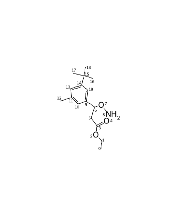 CCOC(=O)CC(ON)c1cc(C)cc(C(C)(C)C)c1